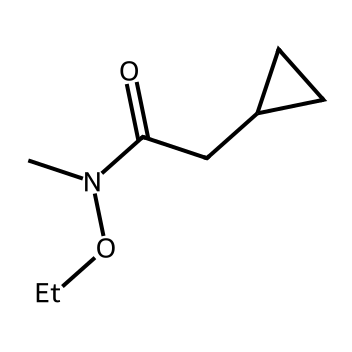 CCON(C)C(=O)CC1CC1